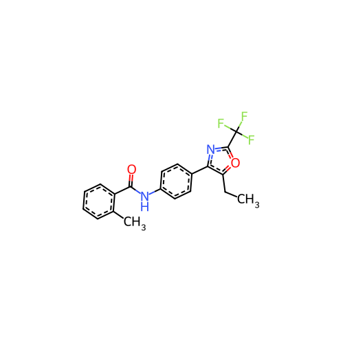 CCc1oc(C(F)(F)F)nc1-c1ccc(NC(=O)c2ccccc2C)cc1